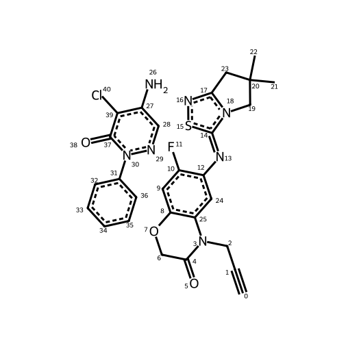 C#CCN1C(=O)COc2cc(F)c(/N=c3\snc4n3CC(C)(C)C4)cc21.Nc1cnn(-c2ccccc2)c(=O)c1Cl